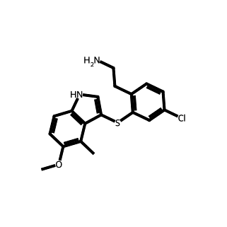 COc1ccc2[nH]cc(Sc3cc(Cl)ccc3CCN)c2c1C